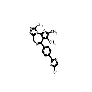 Cc1sc2c(c1C)C(c1ccc(-c3ncc(Br)s3)cc1)=NCc1nnc(C)n1-2